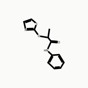 CC(Oc1nccs1)C(=O)Nc1ccccc1